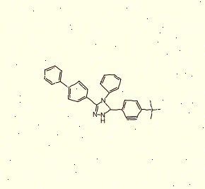 CC(C)(C)c1c#cc(C2NN=C(c3ccc(-c4ccccc4)cc3)N2c2ccccc2)cc1